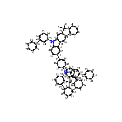 CC1(C)c2ccccc2-c2cc3c4cc(-c5ccc(N(c6ccc(-c7ccccc7)cc6)c6cccc7c6C6(c8ccccc8-c8ccccc86)c6ccccc6-7)cc5)ccc4n(-c4cccc(-c5ccccc5)c4)c3cc21